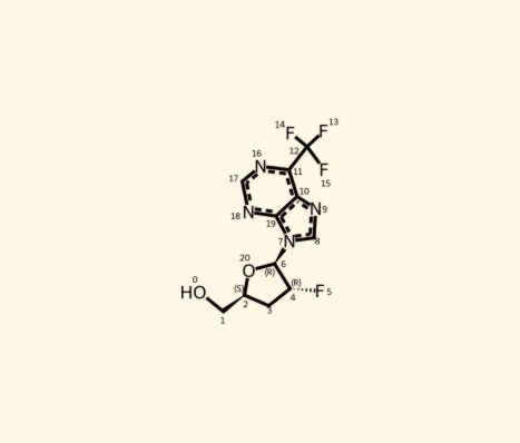 OC[C@@H]1C[C@@H](F)[C@H](n2cnc3c(C(F)(F)F)ncnc32)O1